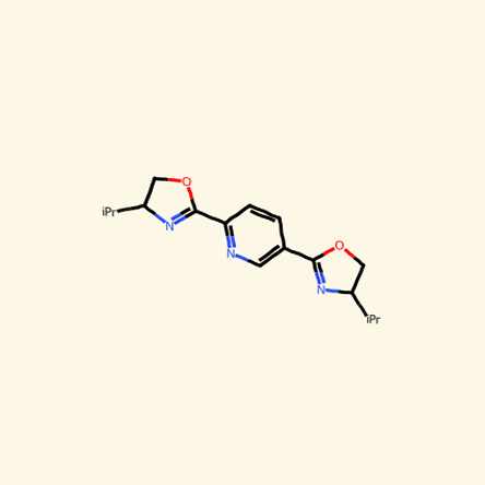 CC(C)C1COC(c2ccc(C3=NC(C(C)C)CO3)nc2)=N1